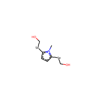 Cn1c([Se]CO)ccc1[Se]CO